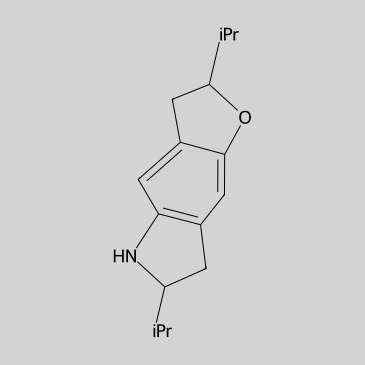 CC(C)C1Cc2cc3c(cc2N1)CC(C(C)C)O3